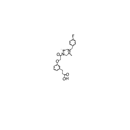 C[C@@H]1CN(Cc2ccc(F)cc2)[C@@H](C)CN1C(=O)COc1cccc(CCC(=O)O)c1